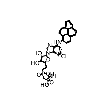 O=P(O)(O)CP(=O)(O)CCC1OC(n2cnc3c(Nc4ccc5ccc6cccc7ccc4c5c67)nc(Cl)nc32)C(O)C1O